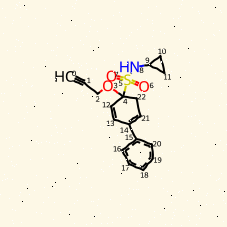 C#CCOC1(S(=O)(=O)NC2CC2)C=CC(c2ccccc2)=CC1